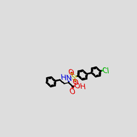 O=C(O)[C@@H](CCc1ccccc1)NS(=O)(=O)c1ccc(-c2ccc(Cl)cc2)cc1